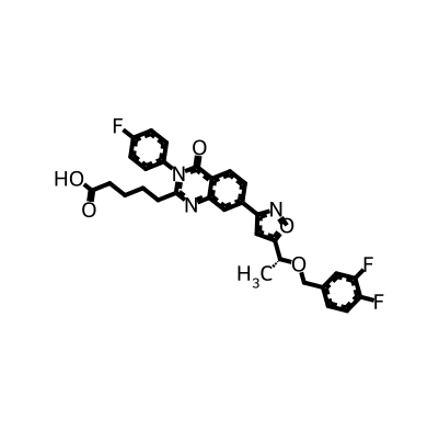 C[C@@H](OCc1ccc(F)c(F)c1)c1cc(-c2ccc3c(=O)n(-c4ccc(F)cc4)c(CCCCC(=O)O)nc3c2)no1